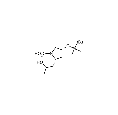 CC(O)C[C@H]1C[C@@H](O[Si](C)(C)C(C)(C)C)CN1C(=O)O